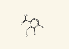 O=Cc1c(C(=O)O)ccc(Cl)c1Cl